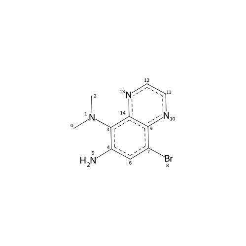 CN(C)c1c(N)cc(Br)c2nccnc12